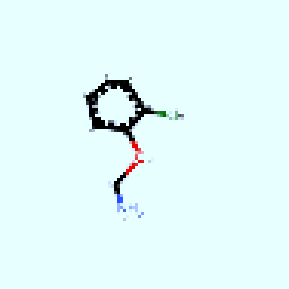 NCOc1ccccc1Cl